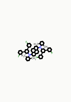 Cc1cccc(C)c1N(c1cc(-c2cccc(F)c2)cc(-c2cccc(F)c2)c1)c1ccc2ccc3c(N(c4cc(-c5cccc(F)c5)cc(-c5cccc(F)c5)c4)c4c(C)cccc4C)ccc4ccc1c2c43